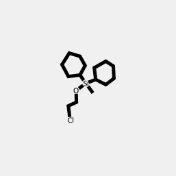 C[Si](OCCCl)(C1CCCCC1)C1CCCCC1